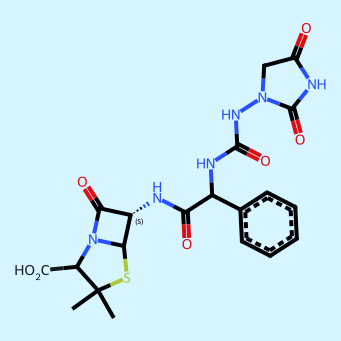 CC1(C)SC2[C@@H](NC(=O)C(NC(=O)NN3CC(=O)NC3=O)c3ccccc3)C(=O)N2C1C(=O)O